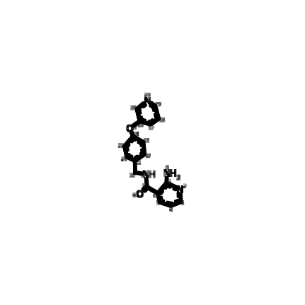 Nc1ncccc1C(=O)NCc1ccc(Oc2cccnc2)cc1